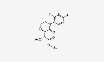 CC(=O)O[C@@H](C(=O)OC(C)(C)C)[C@H]1OCCN(c2ccc(F)nc2F)C1=O